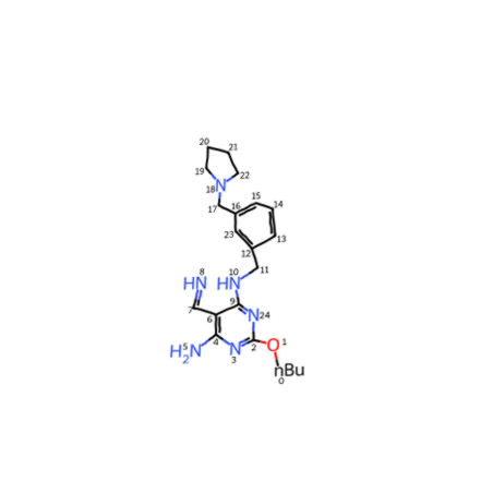 CCCCOc1nc(N)c(C=N)c(NCc2cccc(CN3CCCC3)c2)n1